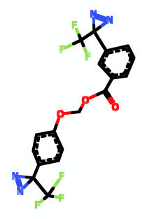 O=C(OCOc1ccc(C2(C(F)(F)F)N=N2)cc1)c1cccc(C2(C(F)(F)F)N=N2)c1